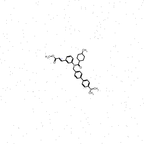 COC(=O)/C=C/c1cccc(N(Cc2ccc(-c3ccc(N(C)C)cc3)cc2)C(=O)C2CCC(C)CC2)c1